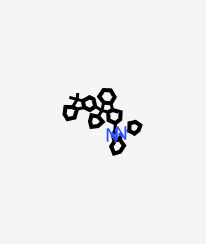 CC1(C)c2ccccc2-c2cc(C3(c4ccccc4)c4ccccc4-c4ccc(-c5nc6ccccc6n5-c5ccccc5)cc43)ccc21